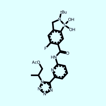 CC(=O)OCC(C)n1nnnc1-c1cccc(NC(=O)c2cc3c(cc2F)CN(C(C)(C)C)S3(O)O)n1